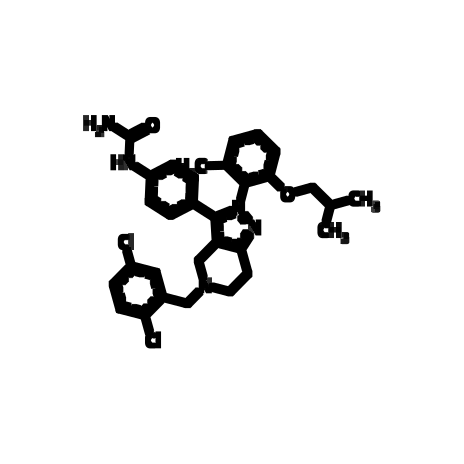 Cc1cccc(OCC(C)C)c1-n1nc2c(c1-c1ccc(NC(N)=O)cc1)CN(Cc1cc(Cl)ccc1Cl)CC2